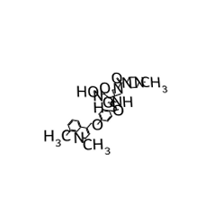 Cc1cc(COc2ccc(S(=O)(=O)NC3(CC(=O)NO)CN(C(=O)N4CCN(C)CC4)C3)cc2)c2cccc(C)c2n1